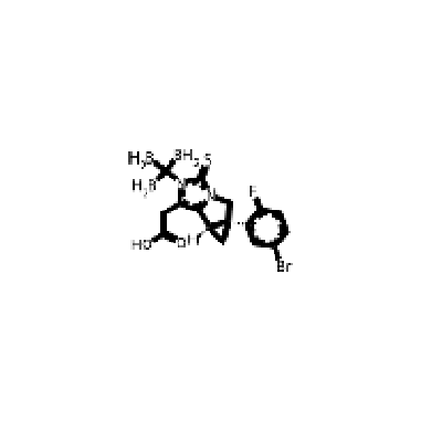 BC(B)(B)n1c(CC(=O)O)c2n(c1=S)C[C@@]1(c3cc(Br)ccc3F)C[C@@H]21